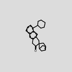 O=C1Cc2cc3cccc(C4CCCCC4)c3cc2CC12CC1=CCC2C1